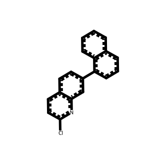 Clc1ccc2ccc(-c3cccc4ccccc34)cc2n1